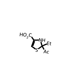 CCC1(C(C)=O)NC(C(=O)O)=CS1